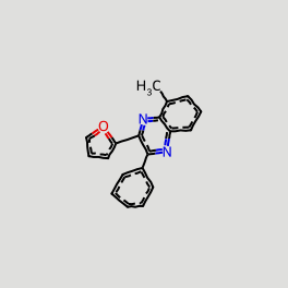 Cc1cccc2nc(-c3ccccc3)c(-c3ccco3)nc12